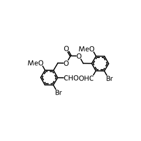 COc1ccc(Br)c(C=O)c1COC(=O)OCc1c(OC)ccc(Br)c1C=O